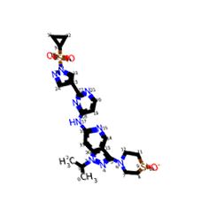 CC(C)n1nc(N2CC[S+]([O-])CC2)c2cnc(Nc3ccnc(-c4cnn(S(=O)(=O)C5CC5)c4)n3)cc21